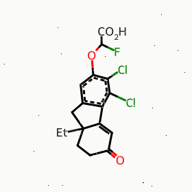 CCC12CCC(=O)C=C1c1c(cc(OC(F)C(=O)O)c(Cl)c1Cl)C2